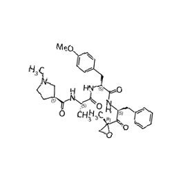 COc1ccc(C[C@H](NC(=O)[C@H](C)NC(=O)[C@H]2CCN(C)C2)C(=O)N[C@@H](Cc2ccccc2)C(=O)[C@@]2(C)CO2)cc1